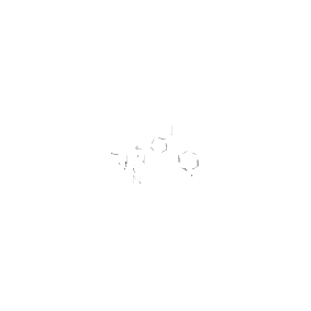 CCc1cc([C@]2(C)CC(=O)N(C)C(=N)N2)sc1-c1cncc(C)c1